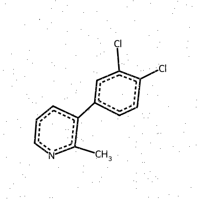 Cc1ncccc1-c1ccc(Cl)c(Cl)c1